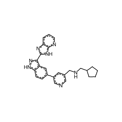 c1cnc2[nH]c(-c3n[nH]c4ccc(-c5cncc(CNCC6CCCC6)c5)cc34)nc2c1